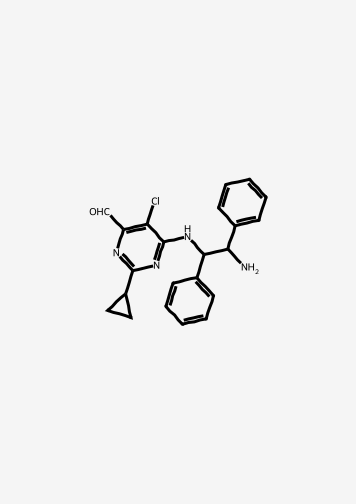 NC(c1ccccc1)C(Nc1nc(C2CC2)nc(C=O)c1Cl)c1ccccc1